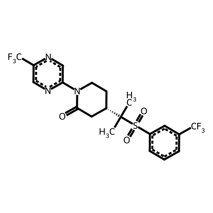 CC(C)([C@H]1CCN(c2cnc(C(F)(F)F)cn2)C(=O)C1)S(=O)(=O)c1cccc(C(F)(F)F)c1